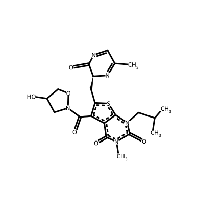 CC1=N[C@@H](Cc2sc3c(c2C(=O)N2CC(O)CO2)c(=O)n(C)c(=O)n3CC(C)C)C(=O)N=C1